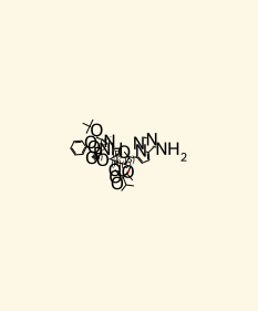 CC(C)C(=O)O[C@H]1[C@H](c2ccc3c(N)ncnn23)O[C@]2(C#N)C(O[P@@](=O)(N[C@@H](C)C(=O)OC(C)(C)C)Oc3ccccc3)[C@]12OC(=O)C(C)C